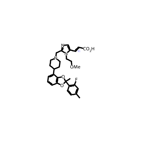 COCCn1c(/C=C/C(=O)O)cnc1CN1CCC(c2cccc3c2OC(C)(c2ccc(C)cc2F)O3)CC1